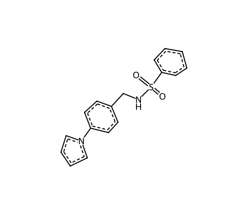 O=S(=O)(NCc1ccc(-n2cccc2)cc1)c1ccccc1